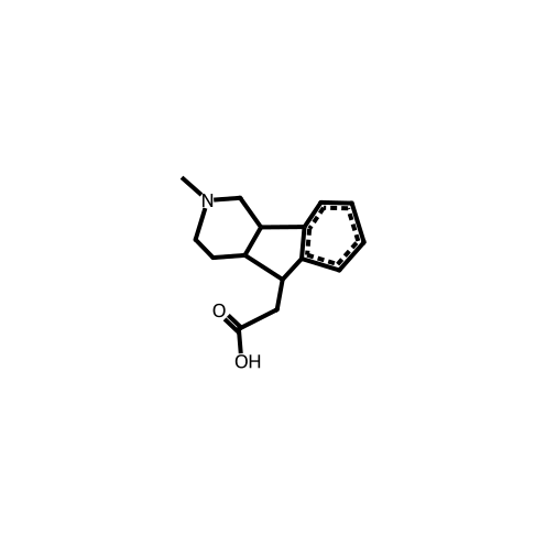 CN1CCC2C(CC(=O)O)c3ccccc3C2C1